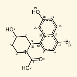 O=C(O)N1CCC(O)C[C@H]1c1ccc(Br)c2ccc(O)cc12